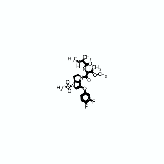 CNC(C)C(=O)NC(C(=O)N1CCC2C1C(Oc1ccc(F)c(F)c1)=CN2S(C)(=O)=O)C(C)OC